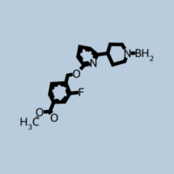 BN1CCC(c2cccc(OCc3ccc(C(=O)OC)cc3F)n2)CC1